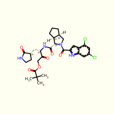 CC(C)(C)C(=O)OCC(=O)[C@H](C[C@@H]1CCNC1=O)NC(=O)[C@@H]1[C@H]2CCC[C@H]2CN1C(=O)c1cc2c(Cl)cc(Cl)cc2[nH]1